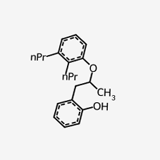 CCCc1cccc(OC(C)Cc2ccccc2O)c1CCC